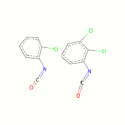 O=C=Nc1cccc(Cl)c1Cl.O=C=Nc1ccccc1Cl